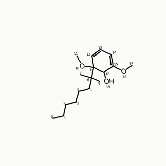 CCCCCCC(C)(C)C1(OC)C=CC=C(OC)C1O